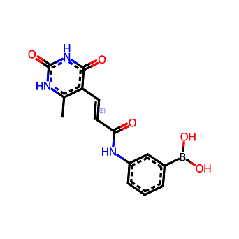 Cc1[nH]c(=O)[nH]c(=O)c1/C=C/C(=O)Nc1cccc(B(O)O)c1